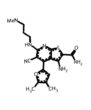 CNCCCNc1nc2sc(C(N)=O)c(N)c2c(-c2cc(C)c(C)o2)c1C#N